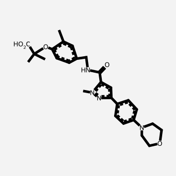 Cc1cc(CNC(=O)c2cc(-c3ccc(N4CCOCC4)cc3)nn2C)ccc1OC(C)(C)C(=O)O